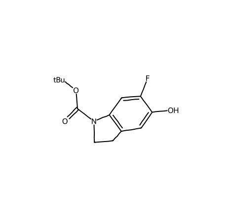 CC(C)(C)OC(=O)N1CCc2cc(O)c(F)cc21